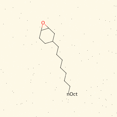 CCCCCCCCCCCCCCCC1CCC2OC2C1